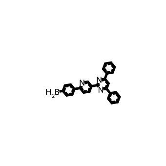 Bc1ccc(-c2ccc(-c3nc(-c4ccccc4)cc(-c4ccccc4)n3)cn2)cc1